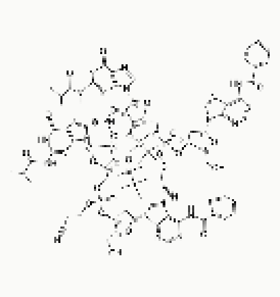 CC(C)C(=O)Nc1nc2c(ncn2[C@@H]2O[C@H](COP(=O)(OCCC#N)O[C@H]3C[C@H](n4cnc5c(NC(=O)c6ccccc6)ncnc54)O[C@@H]3CO)[C@@H](O[Si](C)(C)C(C)(C)C)[C@H]2O[PH](=O)O[C@@H]2[C@H](O[Si](C)(C)C(C)(C)C)[C@@H](COP(=O)(OCCC#N)O[C@H]3C[C@H](n4cnc5c(NC(=O)c6ccccc6)ncnc54)O[C@@H]3CO)O[C@H]2n2cnc3c(=O)[nH]c(NC(=O)C(C)C)nc32)c(=O)[nH]1